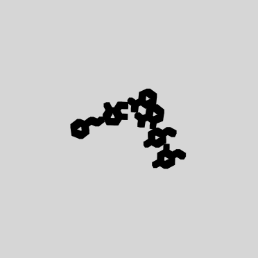 C=C(C)c1ccccc1.C=C(C)c1ccccc1C.C=Cc1c(C)cccc1C.C=Cc1ccc(C)cc1.C=Cc1ccc(C)cc1C.CC=Cc1ccccc1